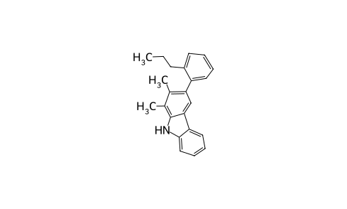 CCCc1ccccc1-c1cc2c([nH]c3ccccc32)c(C)c1C